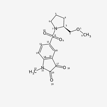 COC[C@@H]1CCCN1S(=O)(=O)c1ccc2c(c1)C(=O)C(=O)N2C